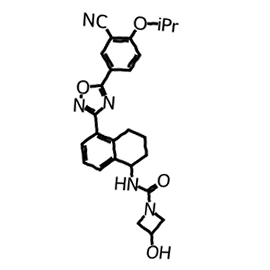 CC(C)Oc1ccc(-c2nc(-c3cccc4c3CCCC4NC(=O)N3CC(O)C3)no2)cc1C#N